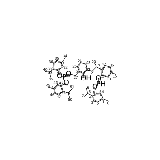 Cc1ccc(C(C)C)c(OPOc2cc(C)ccc2C(C)Cc2cccc(COP(Oc3cc(C)ccc3C(C)C)Oc3cc(C)ccc3C(C)C)c2O)c1